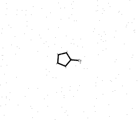 C[CH]C1CCCC1